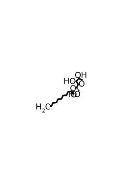 C=CCCCCCCCC(=O)O[C@H](CO)[C@H]1OC[C@H](O)[C@H]1O